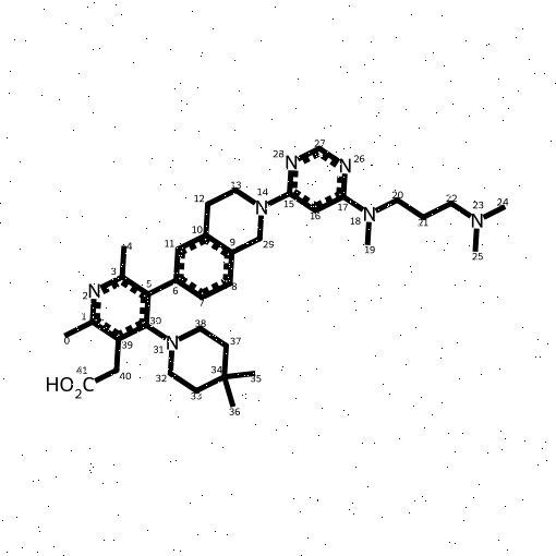 Cc1nc(C)c(-c2ccc3c(c2)CCN(c2cc(N(C)CCCN(C)C)ncn2)C3)c(N2CCC(C)(C)CC2)c1CC(=O)O